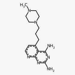 CN1CCN(CCCc2ccnc3nc(N)nc(N)c23)CC1